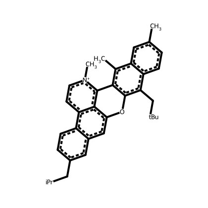 Cc1ccc2c(CC(C)(C)C)c3c(c(C)c2c1)-c1c2c(cc4cc(CC(C)C)ccc4c2cc[n+]1C)O3